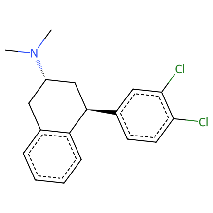 CN(C)[C@H]1Cc2ccccc2[C@H](c2ccc(Cl)c(Cl)c2)C1